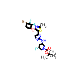 Cc1nc(Oc2ccc(Br)c(F)c2F)c(-c2ccnc(N[C@H]3C[C@H](F)CN(C(=O)OC(C)(C)C)C3)n2)s1